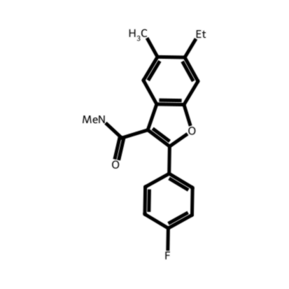 CCc1cc2oc(-c3ccc(F)cc3)c(C(=O)NC)c2cc1C